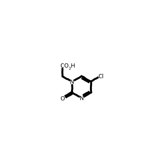 O=C(O)Cn1cc(Cl)cnc1=O